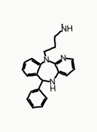 CNCCCN1c2ccccc2C(c2ccccc2)Nc2cccnc21